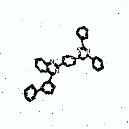 c1ccc(-c2cccc(-c3nc(-c4ccc(-c5cc(-c6ccccc6)nc(-c6ccccc6)n5)cc4)nc4ccccc34)c2)cc1